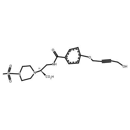 CS(=O)(=O)N1CCN([C@@H](CNC(=O)c2ccc(OCC#CCO)cc2)C(=O)O)CC1